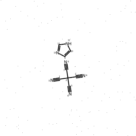 N#CC(C#N)(C#N)C#N.c1c[nH]cn1